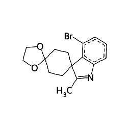 CC1=Nc2cccc(Br)c2C12CCC1(CC2)OCCO1